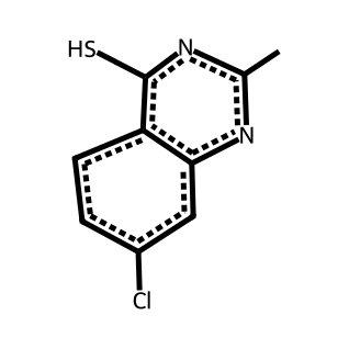 Cc1nc(S)c2ccc(Cl)cc2n1